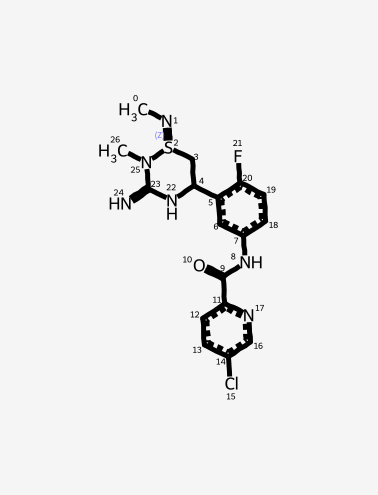 C/N=S1/CC(c2cc(NC(=O)c3ccc(Cl)cn3)ccc2F)NC(=N)N1C